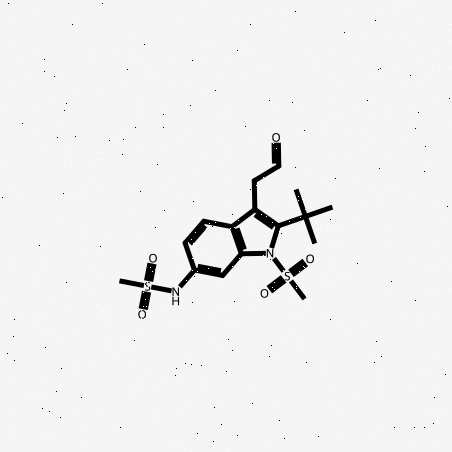 CC(C)(C)c1c(CC=O)c2ccc(NS(C)(=O)=O)cc2n1S(C)(=O)=O